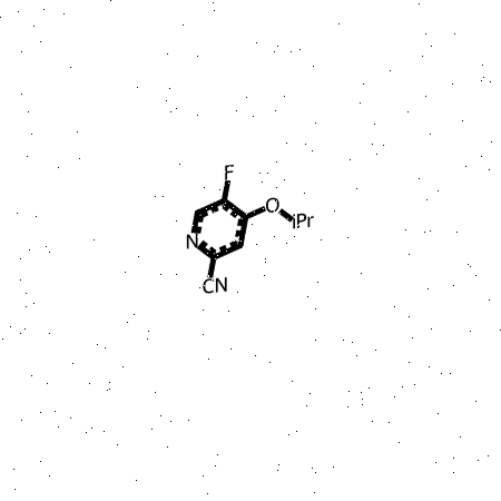 CC(C)Oc1cc(C#N)ncc1F